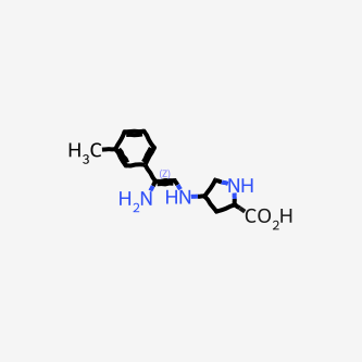 Cc1cccc(/C(N)=C/NC2CNC(C(=O)O)C2)c1